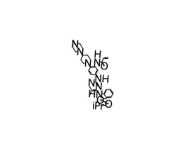 C=CC(=O)Nc1cc(Nc2ncc(C)c(Nc3ccccc3S(=O)(=O)C(C)C)n2)ccc1N1CCC(N2CCN(C)CC2)CC1